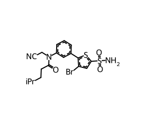 CC(C)CCC(=O)N(CC#N)c1cccc(-c2sc(S(N)(=O)=O)cc2Br)c1